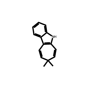 CC1(C)C=Cc2[nH]c3ccccc3c2C=C1